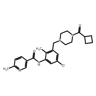 Cc1ccc(C(=O)Nc2cc(Cl)cc(CN3CCN(C(=O)C4CCC4)CC3)c2C)cn1